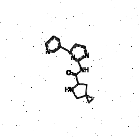 O=C(Nc1nccc(-c2cccnc2)n1)C1CC2(CC2)CN1